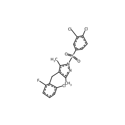 Cc1nn(S(=O)(=O)c2ccc(Cl)c(Cl)c2)c(C)c1Cc1c(F)cccc1Cl